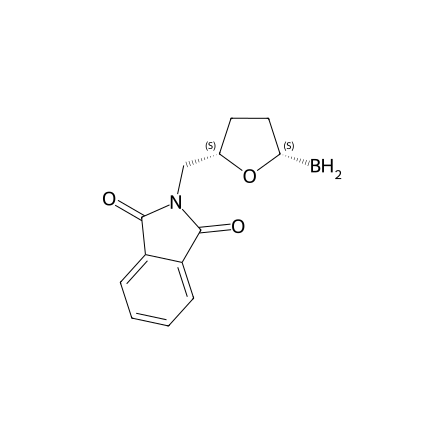 B[C@H]1CC[C@@H](CN2C(=O)c3ccccc3C2=O)O1